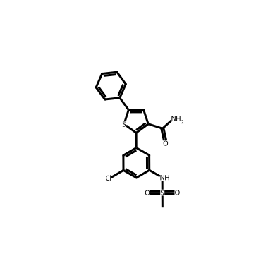 CS(=O)(=O)Nc1cc(Cl)cc(-c2sc(-c3ccccc3)cc2C(N)=O)c1